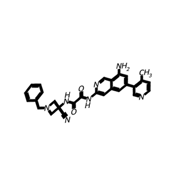 Cc1ccncc1-c1cc(N)c2cnc(NC(=O)C(=O)NC3(C#N)CN(Cc4ccccc4)C3)cc2c1